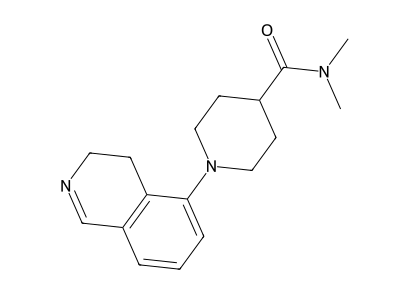 CN(C)C(=O)C1CCN(c2cccc3c2CCN=C3)CC1